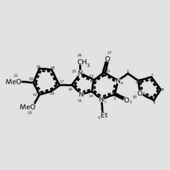 CCn1c(=O)n(Cc2ccco2)c(=O)c2c1nc(-c1ccc(OC)c(OC)c1)n2C